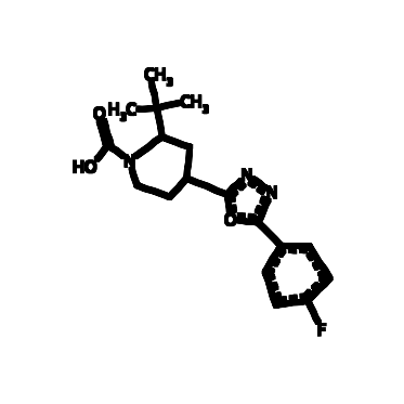 CC(C)(C)C1CC(c2nnc(-c3ccc(F)cc3)o2)CCN1C(=O)O